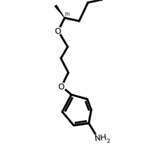 CCCC[C@H](C)OCCCOc1ccc(N)cc1